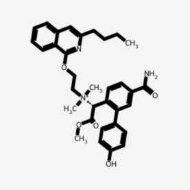 CCCCc1cc2ccccc2c(OCC[N+](C)(C)[C@@H](C(=O)OC)c2ccc(C(N)=O)cc2-c2ccc(O)cc2)n1